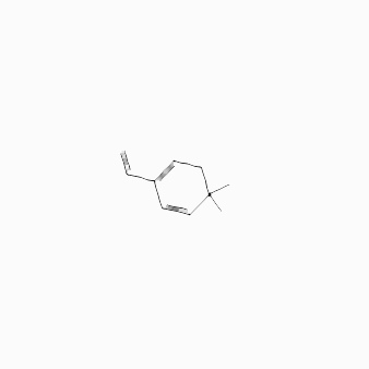 C=CC1=CCC(C)(C)C=C1